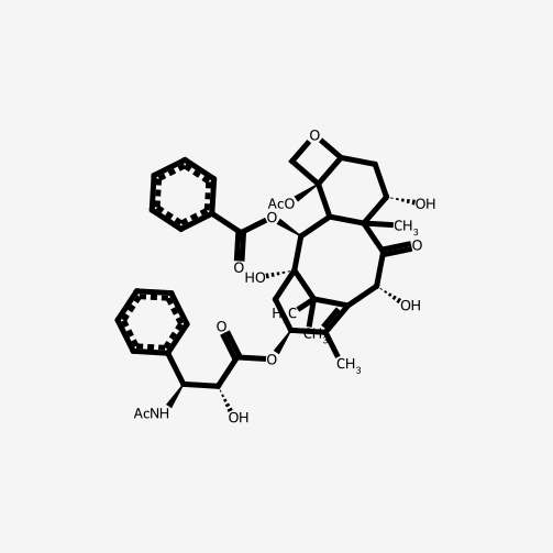 CC(=O)N[C@@H](c1ccccc1)[C@@H](O)C(=O)O[C@H]1C[C@@]2(O)[C@@H](OC(=O)c3ccccc3)C3C(C)(C(=O)[C@H](O)C(=C1C)C2(C)C)[C@@H](O)CC1OC[C@]13OC(C)=O